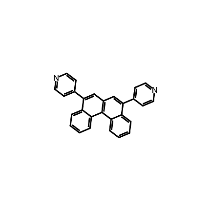 c1ccc2c(c1)c(-c1ccncc1)cc1cc(-c3ccncc3)c3ccccc3c12